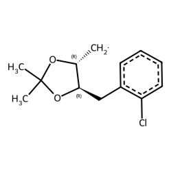 [CH2][C@H]1OC(C)(C)O[C@@H]1Cc1ccccc1Cl